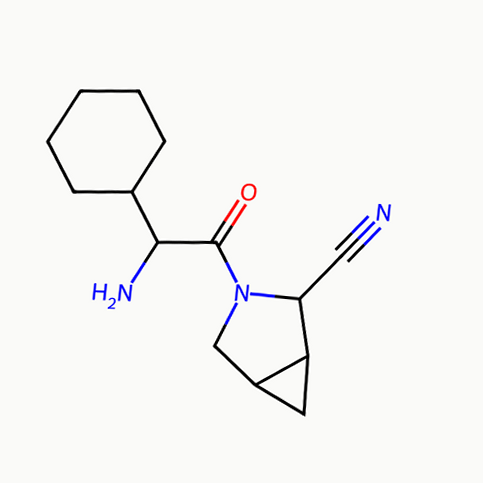 N#CC1C2CC2CN1C(=O)C(N)C1CCCCC1